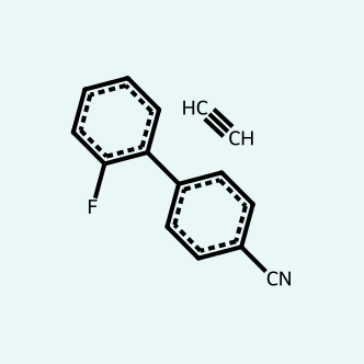 C#C.N#Cc1ccc(-c2ccccc2F)cc1